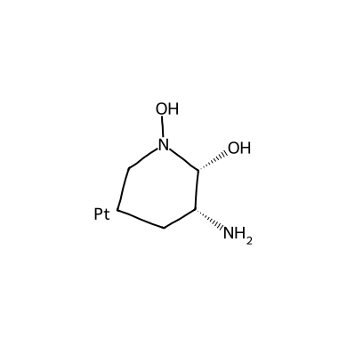 N[C@@H]1CCCN(O)[C@@H]1O.[Pt]